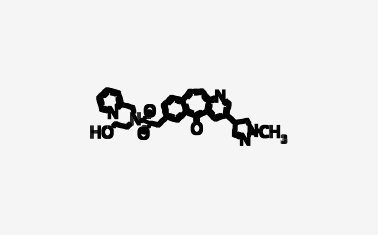 CN1CC(c2cnc3ccc4ccc(CS(=O)(=O)N(CCO)Cc5ccccn5)cc4c(=O)c3c2)C=N1